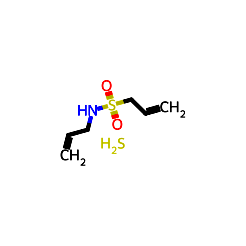 C=CCNS(=O)(=O)CC=C.S